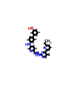 CCc1cccc(-c2nc(N/N=C/c3ccc(Nc4ccc(-c5cccc(O)c5)cc4)cn3)ncc2F)n1